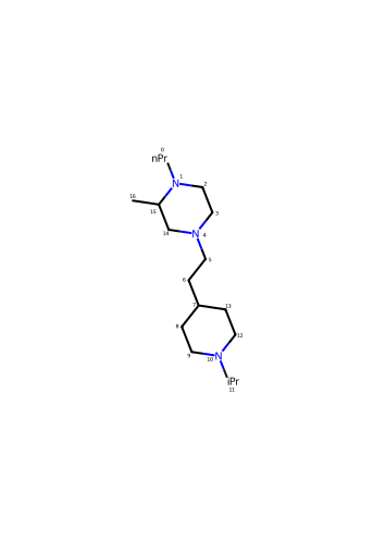 CCCN1CCN(CCC2CCN(C(C)C)CC2)CC1C